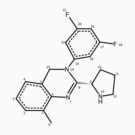 Cc1cccc2c1N=C([C@@H]1CCCN1)N(c1cc(F)cc(F)c1)C2